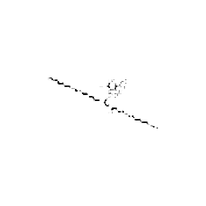 CCC/C=C/C/C=C/C/C=C/C/C=C/CCCC(=O)OC(COC(=O)CCCCCCCCCCCCCCC)COP(O)OC(C(C)O)C(O)C(O)C(O)CO